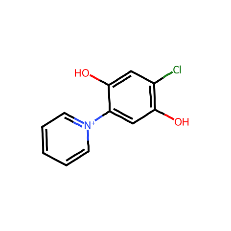 Oc1cc(-[n+]2ccccc2)c(O)cc1Cl